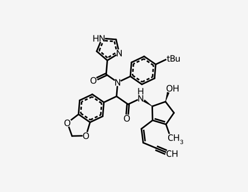 C#C/C=C\C1=C(C)C[C@H](O)[C@@H]1NC(=O)C(c1ccc2c(c1)OCO2)N(C(=O)c1c[nH]cn1)c1ccc(C(C)(C)C)cc1